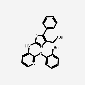 CC(C)(C)Cc1nc(Nc2cccnc2Oc2ccccc2C(C)(C)C)sc1-c1ccccc1